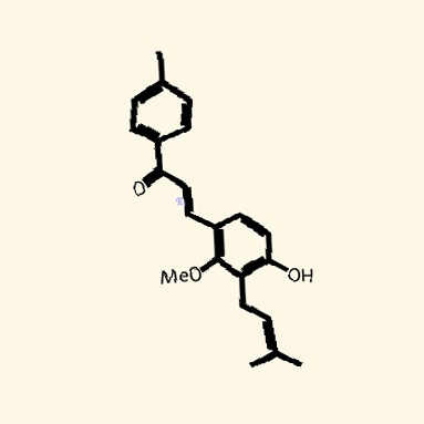 COc1c(/C=C/C(=O)c2ccc(C)cc2)ccc(O)c1CC=C(C)C